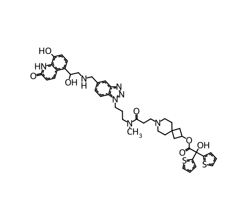 CN(CCCn1nnc2cc(CNCC(O)c3ccc(O)c4[nH]c(=O)ccc34)ccc21)C(=O)CCN1CCC2(CC1)CC(OC(=O)C(O)(c1cccs1)c1cccs1)C2